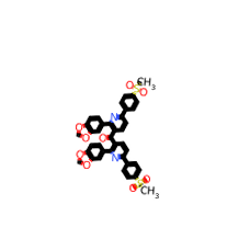 CS(=O)(=O)c1ccc(-c2ccc(C(=O)c3ccc(-c4ccc(S(C)(=O)=O)cc4)nc3-c3ccc4c(c3)OCO4)c(-c3ccc4c(c3)OCO4)n2)cc1